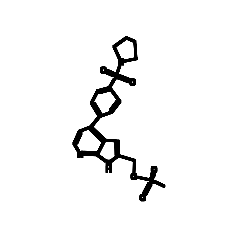 CS(=O)(=O)OCc1cc2c(-c3ccc(S(=O)(=O)N4CCCC4)cc3)ccnc2[nH]1